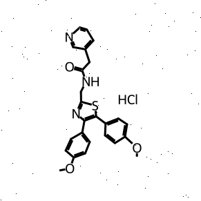 COc1ccc(-c2nc(CNC(=O)Cc3cccnc3)sc2-c2ccc(OC)cc2)cc1.Cl